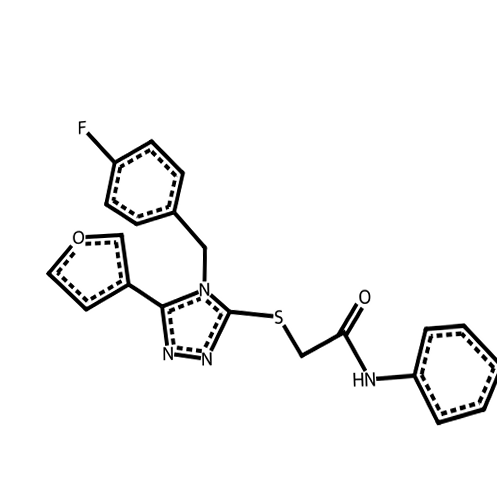 O=C(CSc1nnc(-c2ccoc2)n1Cc1ccc(F)cc1)Nc1ccccc1